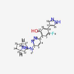 CN(c1ccc(-c2cc(F)c(-c3cn[nH]c3)cc2O)nn1)[C@H]1C[C@H]2CC[C@@H](C1)N2